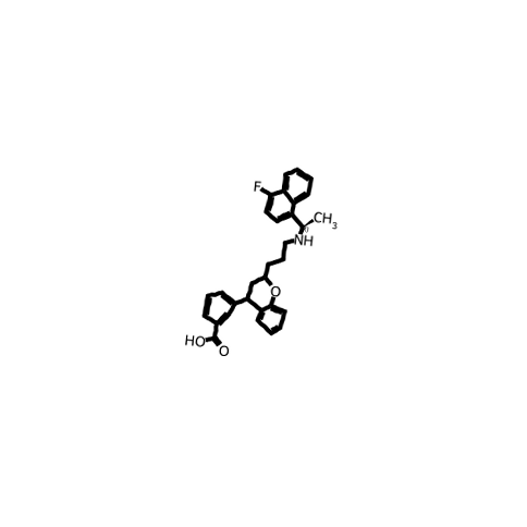 C[C@@H](NCCCC1CC(c2cccc(C(=O)O)c2)c2ccccc2O1)c1ccc(F)c2ccccc12